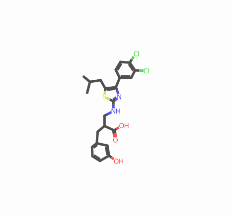 CC(C)Cc1sc(NCC(Cc2cccc(O)c2)C(=O)O)nc1-c1ccc(Cl)c(Cl)c1